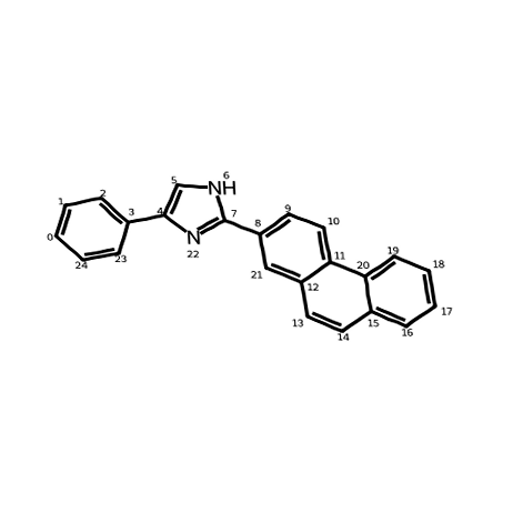 c1ccc(-c2c[nH]c(-c3ccc4c(ccc5ccccc54)c3)n2)cc1